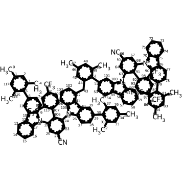 Cc1cc(C)c(-c2ccc3c(c2)c2ccccc2n3-c2cc(C#N)cc(-n3c4ccc(-c5c(C)cc(C)cc5C)cc4c4c(Cc5cc(C)cc(C)c5-c5ccc6c7ccccc7n(-c7cc(C#N)cc(-n8c9ccccc9c9ccc(-c%10c(C)cc(C)cc%10C)cc98)c7-c7ccc(C(F)(F)F)cc7C(F)(F)F)c6c5)cccc43)c2-c2ccc(C(F)(F)F)cc2C(F)(F)F)c(C)c1